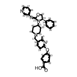 Cc1nc(Oc2ccc(C(=O)O)cc2)ccc1CN1CCC(N2C(=Nc3cccnc3)OC[C@H]2c2ccccc2)CC1